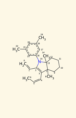 C=CC1=C(/C=C\C)C2(C)CCCCC2(C)N1c1cc(C)cc(C)c1